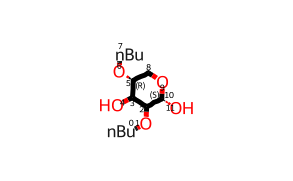 CCCCOC1C(O)[C@H](OCCCC)CO[C@@H]1O